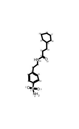 NS(=O)(=O)c1ccc(CCNC(=O)CCC2CCCCC2)cc1